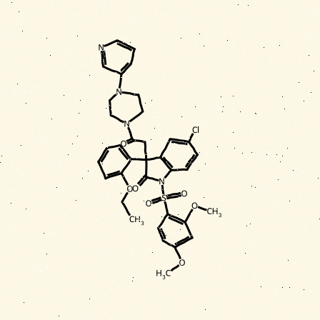 CCOc1ccccc1C1(CC(=O)N2CCN(c3cccnc3)CC2)C(=O)N(S(=O)(=O)c2ccc(OC)cc2OC)c2ccc(Cl)cc21